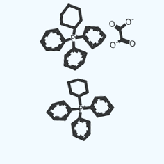 O=C([O-])C(=O)[O-].c1ccc([P+](c2ccccc2)(c2ccccc2)C2CCCCC2)cc1.c1ccc([P+](c2ccccc2)(c2ccccc2)C2CCCCC2)cc1